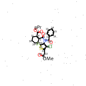 CCCOC(=O)C1=C(C(=O)N(C(=O)c2ccccc2)c2c(F)sc(CC(=O)OC)c2Cl)CCCC1